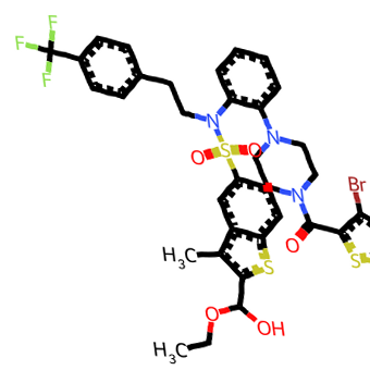 CCOC(O)c1sc2ccc(S(=O)(=O)N(CCc3ccc(C(F)(F)F)cc3)c3ccccc3N3CCN(C(=O)c4sccc4Br)CC3)cc2c1C